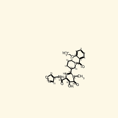 COc1ccccc1C(=O)N1CCCC(c2nc(C(=O)Nc3cnoc3)c(O)c(=O)n2C)C1